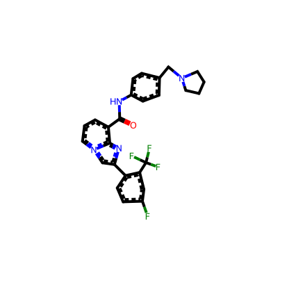 O=C(Nc1ccc(CN2CCCC2)cc1)c1cccn2cc(-c3ccc(F)cc3C(F)(F)F)nc12